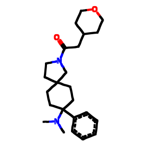 CN(C)C1(c2ccccc2)CCC2(CCN(C(=O)CC3CCOCC3)C2)CC1